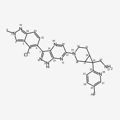 Cn1cc2c(Cl)c(-c3n[nH]c4nc(N5CCC6C(C5)C6(CN)c5ccc(F)cn5)cnc34)ccc2n1